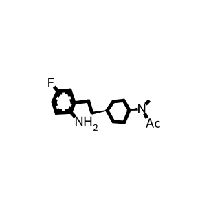 CC(=O)N(C)[C@H]1CC[C@@H](CCc2cc(F)ccc2N)CC1